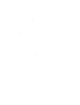 C/C=C\c1c(C)c2ccccc2n1-c1ccnc(Br)c1